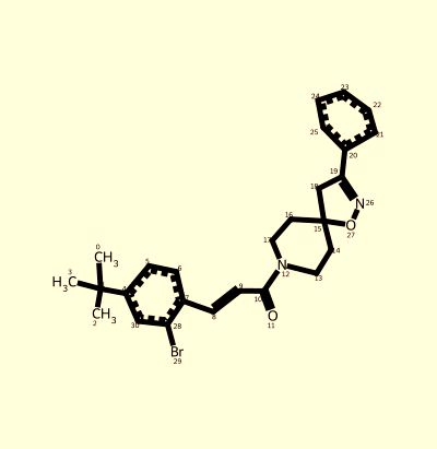 CC(C)(C)c1ccc(C=CC(=O)N2CCC3(CC2)CC(c2ccccc2)=NO3)c(Br)c1